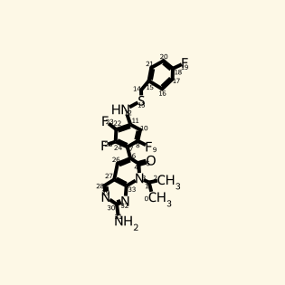 CC(C)n1c(=O)c(-c2c(F)cc(NSCc3ccc(F)cc3)c(F)c2F)cc2cnc(N)nc21